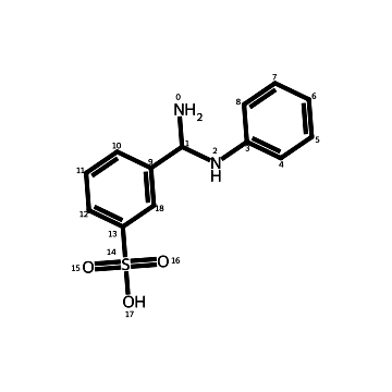 NC(Nc1ccccc1)c1cccc(S(=O)(=O)O)c1